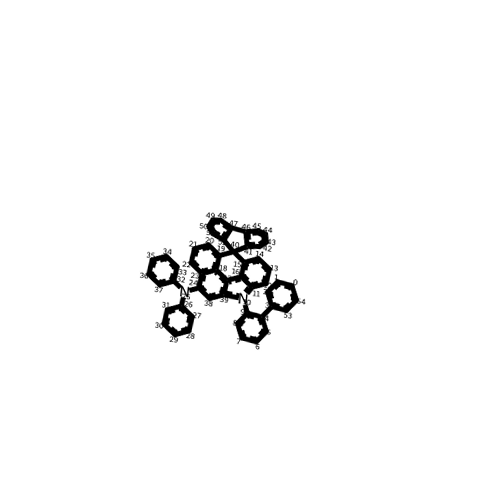 c1ccc(-c2ccccc2-n2c3cccc4c3c3c5c(cccc5c(N(c5ccccc5)c5ccccc5)cc32)C42c3ccccc3-c3ccccc32)cc1